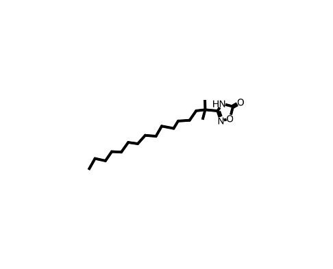 CCCCCCCCCCCCCCC(C)(C)c1noc(=O)[nH]1